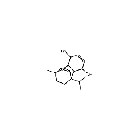 CC(C)C12C=CC(C)(CC1)CC1C(O)C=CC(O)C12